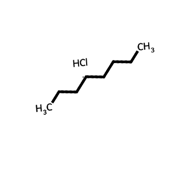 CCC[CH]CCCC.Cl